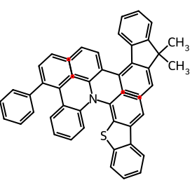 CC1(C)c2ccccc2-c2c(-c3ccccc3N(c3ccccc3-c3ccccc3-c3ccccc3)c3cccc4c3sc3ccccc34)cccc21